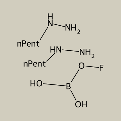 CCCCCNN.CCCCCNN.OB(O)OF